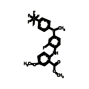 COC(=O)c1cc(OC)ccc1Nc1ccc(N(C)c2ccc(S(F)(F)(F)(F)F)cc2)cc1F